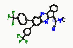 [C-]#[N+]/C(C#N)=C1\c2ccccc2-c2nc3cc(-c4ccc(C(F)(F)F)cc4)c(-c4ccc(C(F)(F)F)cc4)cc3nc21